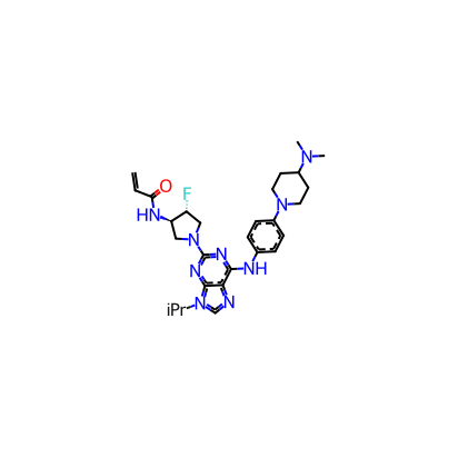 C=CC(=O)N[C@@H]1CN(c2nc(Nc3ccc(N4CCC(N(C)C)CC4)cc3)c3ncn(C(C)C)c3n2)C[C@H]1F